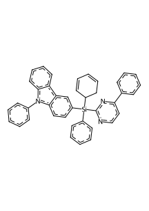 C1=CCC([Si](c2ccccc2)(c2ccc3c(c2)c2ccccc2n3-c2ccccc2)c2nccc(-c3ccccc3)n2)C=C1